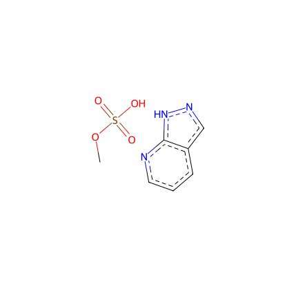 COS(=O)(=O)O.c1cnc2[nH]ncc2c1